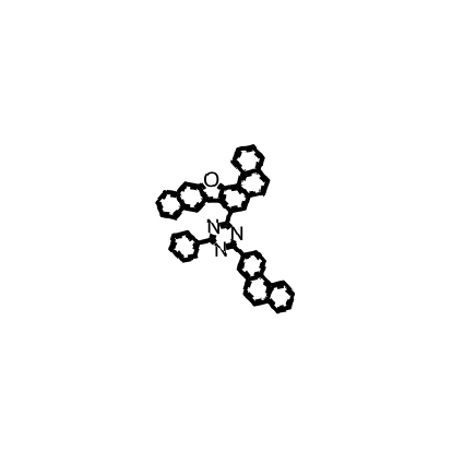 c1ccc(-c2nc(-c3ccc4c(ccc5ccccc54)c3)nc(-c3cc4ccc5ccccc5c4c4oc5cc6ccccc6cc5c34)n2)cc1